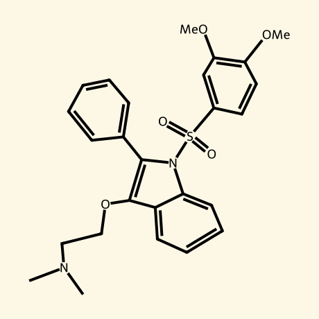 COc1ccc(S(=O)(=O)n2c(-c3ccccc3)c(OCCN(C)C)c3ccccc32)cc1OC